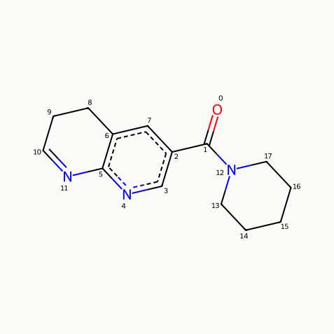 O=C(c1cnc2c(c1)CCC=N2)N1CCCCC1